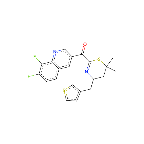 CC1(C)CC(Cc2ccsc2)N=C(C(=O)c2cnc3c(F)c(F)ccc3c2)S1